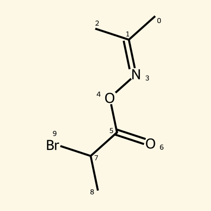 CC(C)=NOC(=O)C(C)Br